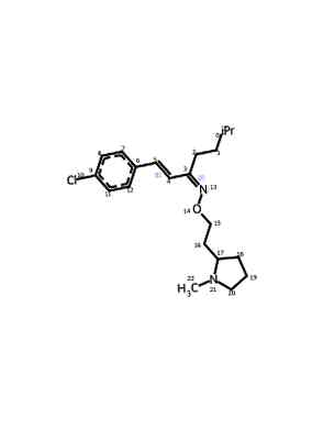 CC(C)CCC(/C=C/c1ccc(Cl)cc1)=N/OCCC1CCCN1C